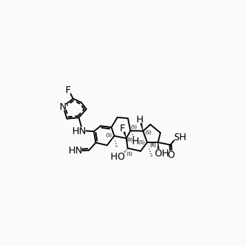 C[C@]12CC(C=N)=C(Nc3ccc(F)nc3)C=C1CC[C@H]1[C@@H]3CC[C@](O)(C(=O)S)[C@@]3(C)C[C@H](O)[C@@]12F